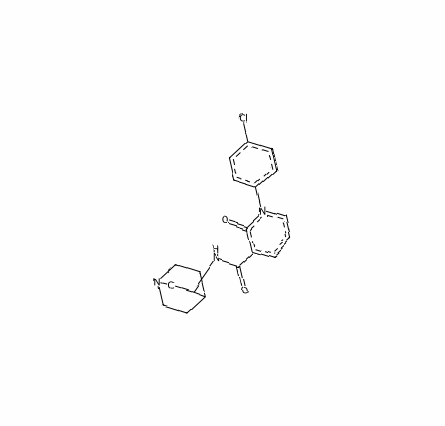 O=C(NC1CN2CCC1CC2)c1cccn(-c2ccc(Cl)cc2)c1=O